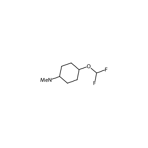 CNC1CCC(OC(F)F)CC1